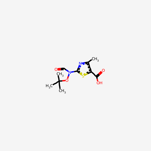 Cc1nc(N(C=O)OC(C)(C)C)sc1C(=O)O